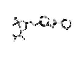 CC(C)C(=O)OCC(CSc1ccc2cc(-c3ccccc3)oc2c1)CC(F)(F)F